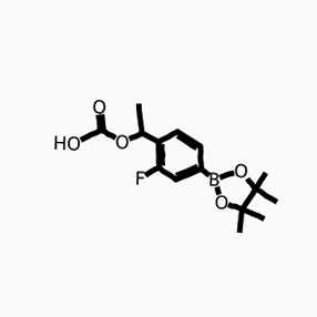 CC(OC(=O)O)c1ccc(B2OC(C)(C)C(C)(C)O2)cc1F